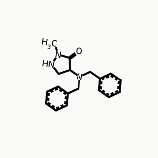 CN1NCC(N(Cc2ccccc2)Cc2ccccc2)C1=O